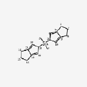 C[Si](C)(C1C=C2CCCC2=C1)C1C=C2CCCC2=C1